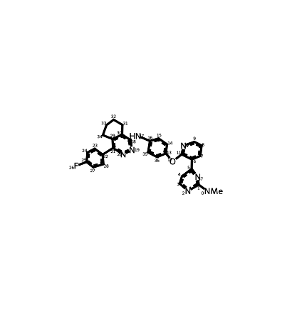 CNc1nccc(-c2cccnc2Oc2ccc(Nc3nnc(-c4ccc(F)cc4)c4c3CCCC4)cc2)n1